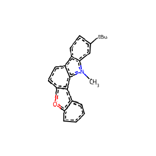 Cn1c2cc(C(C)(C)C)ccc2c2ccc3oc4ccccc4c3c21